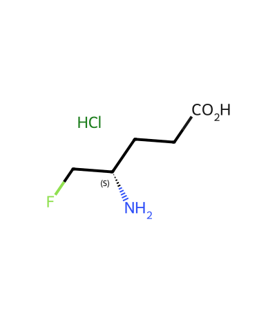 Cl.N[C@H](CF)CCC(=O)O